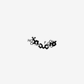 Cc1cccc(C(O)(C(=O)N2CCC(CC3CCN(c4ccc(C(O)N(C)C)c(Cl)n4)CC3)CC2)C(F)(F)F)c1